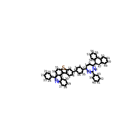 C1=CC(c2ccc(-c3ccc4c(c3)sc3ccc5c(-c6ccccc6)nc6ccccc6c5c34)cc2)=NC(c2ccccc2)=NC=1C1Cc2ccccc2-c2ccccc21